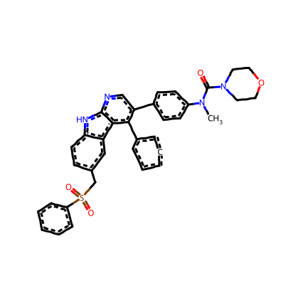 CN(C(=O)N1CCOCC1)c1ccc(-c2cnc3[nH]c4ccc(CS(=O)(=O)c5ccccc5)cc4c3c2-c2ccccc2)cc1